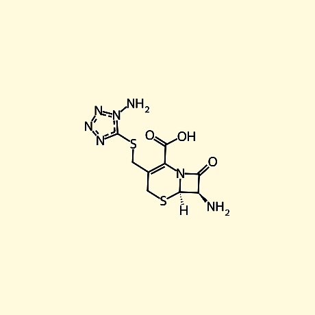 N[C@@H]1C(=O)N2C(C(=O)O)=C(CSc3nnnn3N)CS[C@H]12